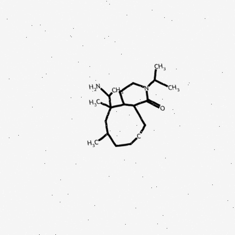 CC1CCCCC2C(=O)N(C(C)C)CCC2C(C)(C(C)N)C1